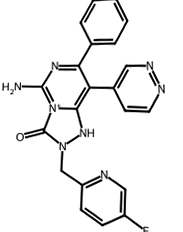 Nc1nc(-c2ccccc2)c(-c2ccnnc2)c2[nH]n(Cc3ccc(F)cn3)c(=O)[n+]12